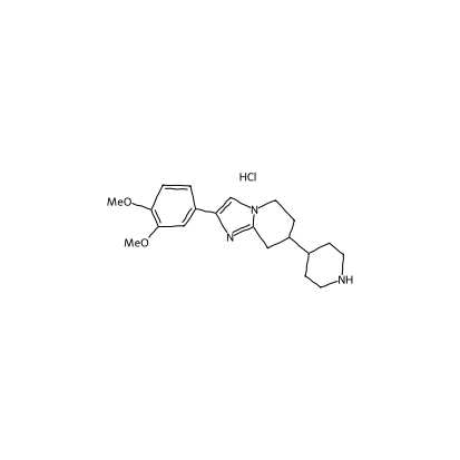 COc1ccc(-c2cn3c(n2)CC(C2CCNCC2)CC3)cc1OC.Cl